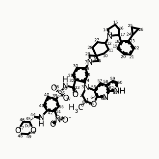 C[C@@H]1CN(c2cc(N3CC4(CCC(N5CCCC5c5ccccc5C5CC5)CC4)C3)ccc2C(=O)NS(=O)(=O)c2ccc(NC[C@H]3COCCO3)c([N+](=O)[O-])c2)c2cc3cc[nH]c3nc2O1